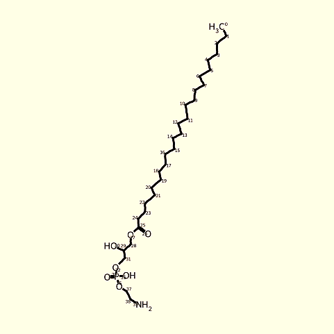 CCCCCCCCCCCCCCCCCCCCCCCCCC(=O)OCC(O)COP(=O)(O)OCCN